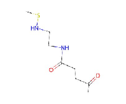 CSNCCNC(=O)CCC(C)=O